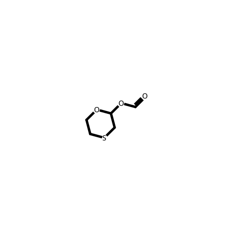 O=COC1CSCCO1